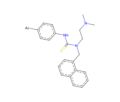 CC(=O)c1ccc(NC(=S)N(CCN(C)C)Cc2cccc3ccccc23)cc1